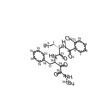 CC(C)C[C@H](NC(=O)c1ccccc1Cl)C(=O)NC(Cc1ccccc1)C(=O)C(=O)NC(C)(C)C